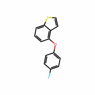 Fc1ccc(Oc2cccc3s[c]cc23)cc1